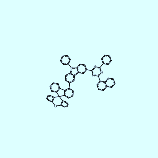 c1ccc(-c2nc(-c3ccc4c(c3)c3cc(-c5cccc6c5-c5ccccc5C65c6ccccc6Oc6ccccc65)ccc3n4-c3ccccc3)nc(-c3cccc4ccccc34)n2)cc1